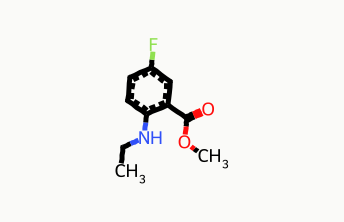 CCNc1ccc(F)cc1C(=O)OC